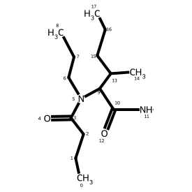 CCCC(=O)N(CCC)C(C([NH])=O)C(C)CCC